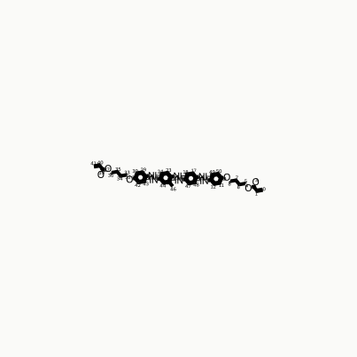 C=CC(=O)OCCCCOc1ccc(NNc2ccc(NNc3ccc(NNc4ccc(OCCCCOC(=O)C=C)cc4)cc3C)cc2)cc1